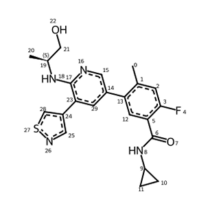 Cc1cc(F)c(C(=O)NC2CC2)cc1-c1cnc(N[C@@H](C)CO)c(-c2cnsc2)c1